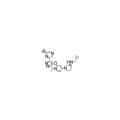 CC(c1nnc(-c2cncc(N(C)C)n2)s1)n1ccc(N2CCC[C@@H](NCC3CC3)C2)cc1=O